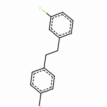 [CH2]c1ccc(CCc2cccc(F)c2)cc1